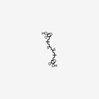 CC(C)(CCC(=S)CCC(=S)CCC(C)(C)CCc1cocc(O)c1=O)CCc1cc(=O)c(O)co1